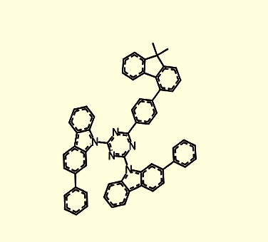 CC1(C)c2ccccc2-c2c(-c3ccc(-c4nc(-n5c6ccccc6c6ccc(-c7ccccc7)cc65)nc(-n5c6ccccc6c6ccc(-c7ccccc7)cc65)n4)cc3)cccc21